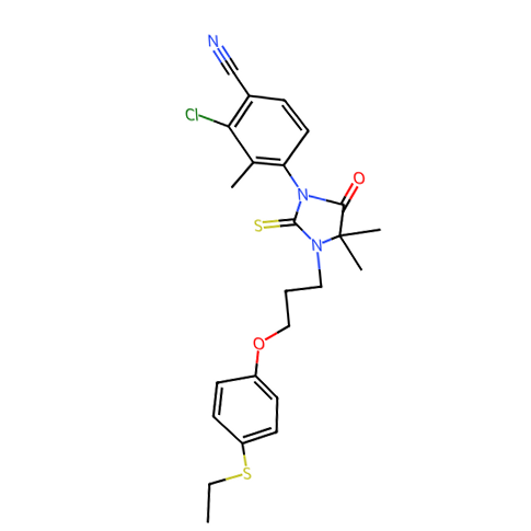 CCSc1ccc(OCCCN2C(=S)N(c3ccc(C#N)c(Cl)c3C)C(=O)C2(C)C)cc1